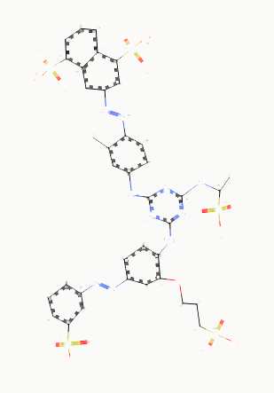 Cc1cc(Nc2nc(Nc3ccc(N=Nc4cccc(S(=O)(=O)O)c4)cc3OCCCS(=O)(=O)O)nc(NC(C)S(=O)(=O)O)n2)ccc1N=Nc1cc(S(=O)(=O)O)c2cccc(S(=O)(=O)O)c2c1